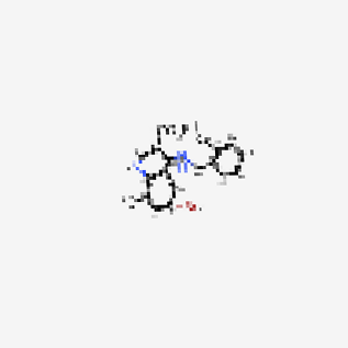 Br.CCOC(=O)c1cnc2c(C)cccc2c1NCc1ccccc1C